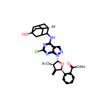 C=C1[C@H](c2ccccc2C(=O)OC)O[C@@H](n2ncc3c(NC4C5CC6C[C@@H]4CC(O)(C6)C5)nc(Cl)nc32)[C@@H]1OC(C)=O